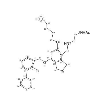 CC(=O)NCCNCc1c(OCCCCC(=O)O)cc(OCc2cccc(-c3ccccc3)c2C)c2c1CCC2